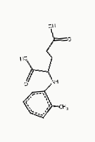 Cc1ccccc1NC(CCC(=O)O)C(=O)O